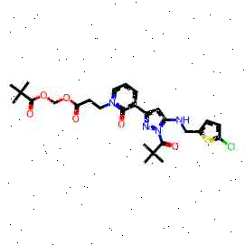 CC(C)(C)C(=O)OCOC(=O)CCn1cccc(-c2cc(NCc3ccc(Cl)s3)n(C(=O)C(C)(C)C)n2)c1=O